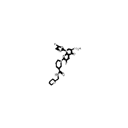 O=C(O)c1cn(-c2ncc(F)s2)c2nc(N3CCCC(C(=O)NCC4CCCCO4)C3)c(F)cc2c1=O